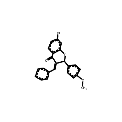 COc1ccc(C2Oc3cc(O)ccc3C(=O)C2=Cc2ccccc2)cc1